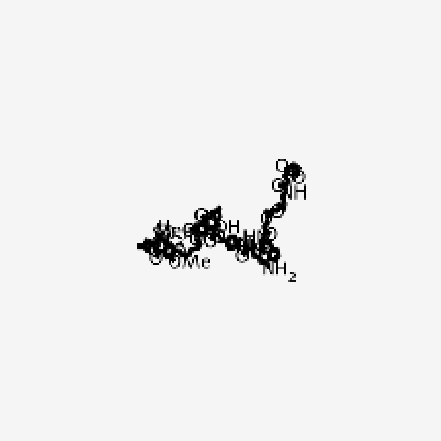 C=C1CC2C(O)N(C(=O)OCc3ccc(NC(=O)C(CCCCN)NC(=O)C(Cc4ccccc4)NC(=O)CCOC(C)(C)COC(C)(C)CCNC(=O)CCN4C(=O)C=CC4=O)cc3)c3cc(OCCCCCOc4cc5c(cc4OC)C(=O)N4CC(=C)CC4C(S(=O)(=O)O)N5)c(OC)cc3C(=O)N2C1